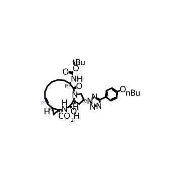 CCCCOc1ccc(-c2nnn([C@@H]3C[C@H]4C(=O)N[C@]5(C(=O)O)C[C@H]5/C=C\CCCCC[C@H](NC(=O)OC(C)(C)C)C(=O)N4C3)n2)cc1